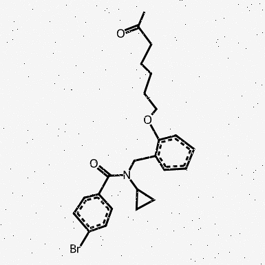 CC(=O)CCCCCOc1ccccc1CN(C(=O)c1ccc(Br)cc1)C1CC1